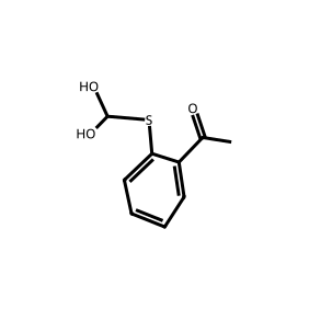 CC(=O)c1ccccc1SC(O)O